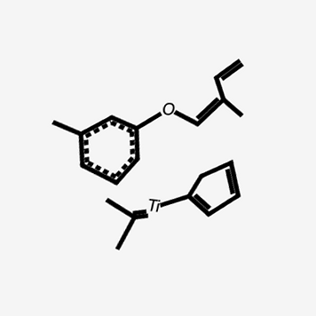 C=CC(C)=COc1cccc(C)c1.C[C](C)=[Ti][C]1=CC=CC1